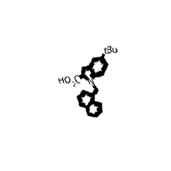 CC(C)(C)c1ccc2c(c1)cc(C(=O)O)n2Cc1cccc2ccccc12